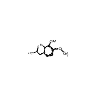 COc1ccc(CC(=O)O)c(Br)c1O